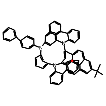 CC(C)(C)c1cc2ccc3c4cc(c5ccc(c1)c2c35)N(c1ccccc1-c1ccccc1)c1cccc(c1)N(c1ccc(-c2ccccc2)cc1)c1cccc(c1)N4c1ccccc1-c1ccccc1